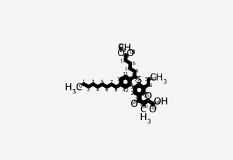 CCCCCCCCCc1ccc(C(CCCCC(=O)OC)Sc2ccc3c(=O)c(C)c(C(=O)O)oc3c2CCC)cc1